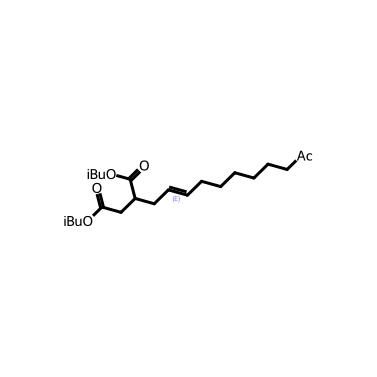 CC(=O)CCCCCC/C=C/CC(CC(=O)OCC(C)C)C(=O)OCC(C)C